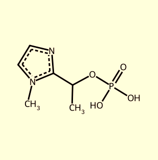 CC(OP(=O)(O)O)c1nccn1C